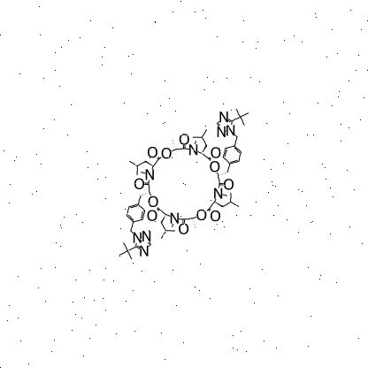 CC(C)C[C@H]1C(=O)O[C@H](Cc2ccc(Cn3ncnc3C(C)(C)C)cc2)C(=O)N(C)[C@@H](CC(C)C)C(=O)O[C@H](C)C(=O)N(C)[C@@H](CC(C)C)C(=O)O[C@H](Cc2ccc(Cn3ncnc3C(C)(C)C)cc2)C(=O)N(C)[C@@H](CC(C)C)C(=O)O[C@H](C)C(=O)N1C